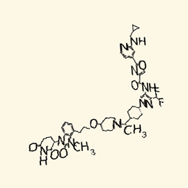 CC(C1CCC(n2cc(NC(=O)c3coc(-c4ccnc(NCC5CC5)c4)n3)c(C(F)F)n2)CC1)N1CCC(OCCCc2cccc3c2n(C)c(=O)n3C2CCC(=O)NC2=O)CC1